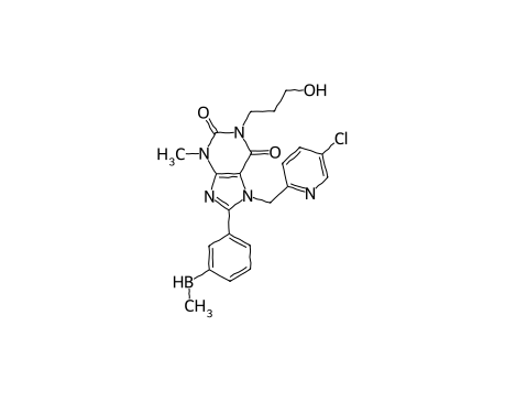 CBc1cccc(-c2nc3c(c(=O)n(CCCO)c(=O)n3C)n2Cc2ccc(Cl)cn2)c1